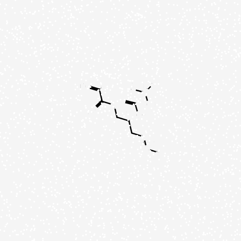 C=CC.C=CC(=O)OCCC[SiH2]OCC.C[SiH](C)C